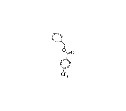 O=C(OCc1ccccc1)c1ccc(C(F)(F)F)cc1